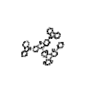 C1=Cc2c(c3ccccc3n2-c2ccc3c(c2)Sc2cc(-n4c5ccccc5c5ccccc54)ccc2N3c2ccc3c4nccnc4c4ccc(-c5ccccc5)nc4c3n2)CC1